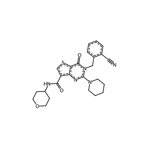 N#Cc1ccccc1Cn1c(N2CCCCC2)nc2c(C(=O)NC3CCOCC3)csc2c1=O